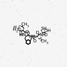 CN[C@@H](CC(C)C)C(=O)N[C@H]1Cc2cccc(c2)[C@@H](C(=O)N[C@@H](CSC)C(=O)N[C@@H](CS)C(=O)O)NC1=O